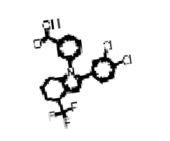 O=C(O)c1cccc(-n2c(-c3ccc(Cl)c(Cl)c3)cc3c2CCCC3C(F)(F)F)c1